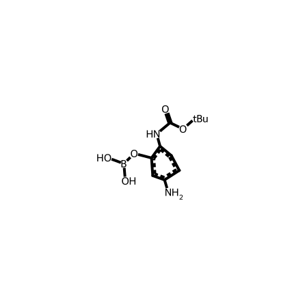 CC(C)(C)OC(=O)Nc1ccc(N)cc1OB(O)O